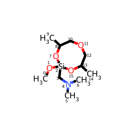 CO[Si]1(CN(C)C)OC(C)COCC(C)O1